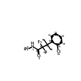 CC(C)NC(=O)C(F)(F)C(C)(C)c1ccccc1Cl